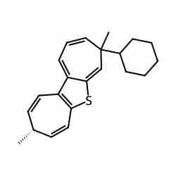 C[C@H]1C=Cc2sc3c(c2C=C1)=CC=CC(C)(C1CCCCC1)C=3